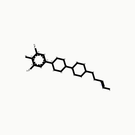 C/C=C/CCC1CCC(C2CCC(c3cc(F)c(C)c(F)c3)CC2)CC1